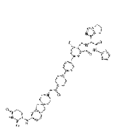 O=C1CCC(Nc2ccc3c(c2)CC2(CCN(CC(=O)N4CCN(c5ccc(-c6cc(F)c7c(c6)C(=O)N(C(C(=O)Nc6nccs6)c6ncn8c6CCC8)C7)cc5)CC4)CC2)C3)C(=O)N1